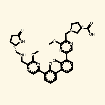 COc1nc(-c2cccc(-c3cccc(-c4cnc(CN5CC[C@@H](C(=O)O)C5)c(OC)n4)c3Cl)c2Cl)cnc1CNC[C@@H]1CCC(=O)N1